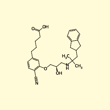 CC(C)(CC1Cc2ccccc2C1)NC[C@@H](O)COc1cc(CCCCC(=O)O)ccc1C#N